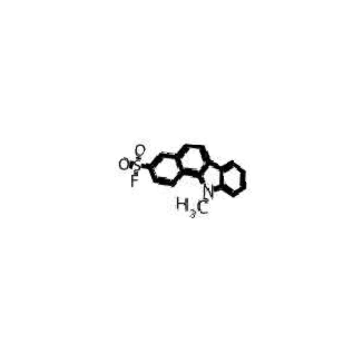 Cn1c2ccccc2c2ccc3cc(S(=O)(=O)F)ccc3c21